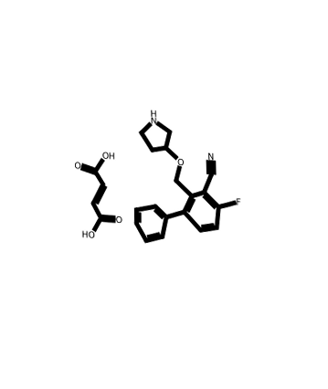 N#Cc1c(F)ccc(-c2ccccc2)c1COC1CCNC1.O=C(O)/C=C/C(=O)O